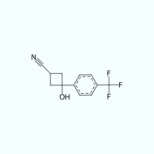 N#CC1CC(O)(c2ccc(C(F)(F)F)cc2)C1